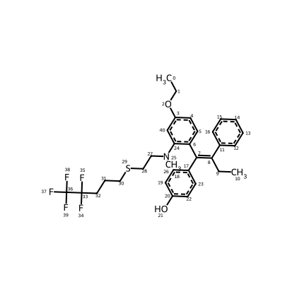 CCOc1ccc(C(=C(CC)c2ccccc2)c2ccc(O)cc2)c(N(C)CCSCCCC(F)(F)C(F)(F)F)c1